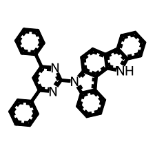 c1ccc(-c2cc(-c3ccccc3)nc(-n3c4ccccc4c4c5[nH]c6ccccc6c5ccc43)n2)cc1